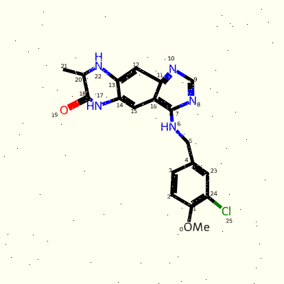 COc1ccc(CNc2ncnc3cc4c(cc23)NC(=O)C(C)N4)cc1Cl